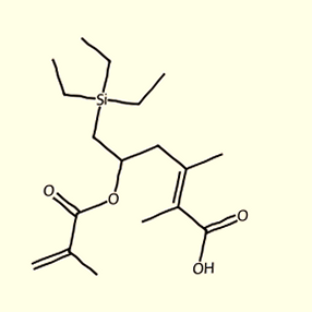 C=C(C)C(=O)OC(CC(C)=C(C)C(=O)O)C[Si](CC)(CC)CC